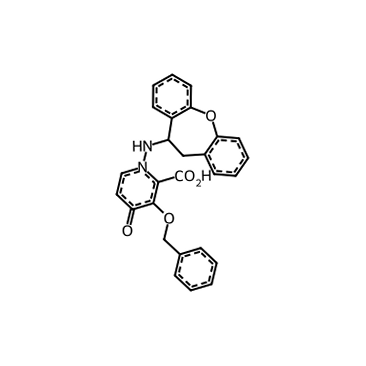 O=C(O)c1c(OCc2ccccc2)c(=O)ccn1NC1Cc2ccccc2Oc2ccccc21